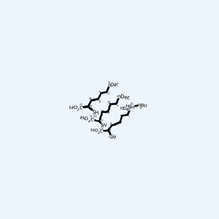 CCCCCCCCCCCCCCC(S)C(=O)O.CCCCCCCCCCCCCCC(S)C(=O)O.CCCCCCCCCCCCCCC(S)C(=O)O.CCC[CH2][SnH]